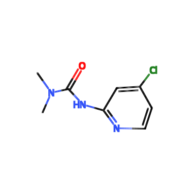 CN(C)C(=O)Nc1cc(Cl)ccn1